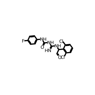 N=C(NC(=O)Nc1ccc(F)cc1)NC(C=O)c1c(Cl)cccc1Cl